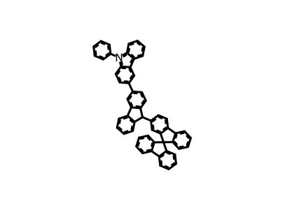 c1ccc(-n2c3ccccc3c3cc(-c4ccc5c(c4)-c4ccccc4C5c4ccc5c(c4)C4(c6ccccc6-c6ccccc64)c4ccccc4-5)ccc32)cc1